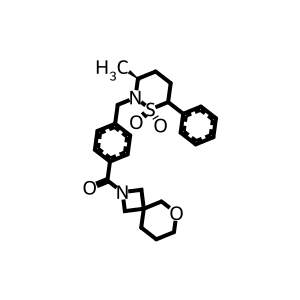 C[C@H]1CCC(c2ccccc2)S(=O)(=O)N1Cc1ccc(C(=O)N2CC3(CCCOC3)C2)cc1